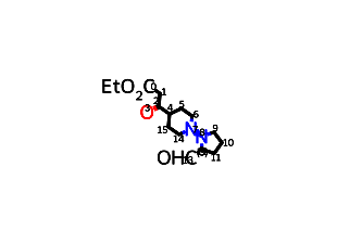 CCOC(=O)CC(=O)C1CCN(N2CCC[C@H]2C=O)CC1